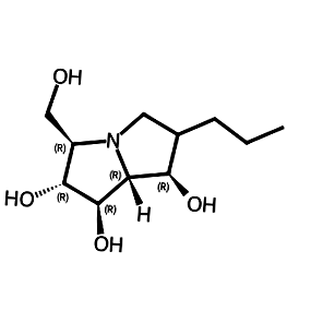 CCCC1CN2[C@@H]([C@@H](O)[C@H](O)[C@H]2CO)[C@@H]1O